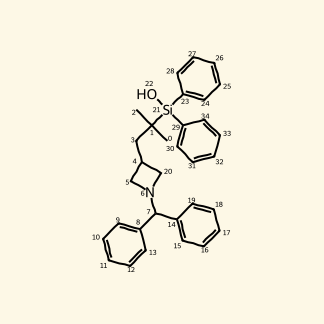 CC(C)(CC1CN(C(c2ccccc2)c2ccccc2)C1)[Si](O)(c1ccccc1)c1ccccc1